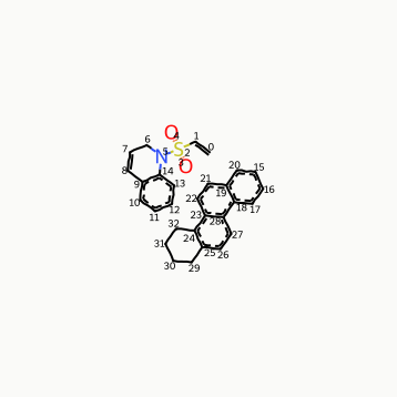 C=CS(=O)(=O)N1CC=Cc2ccccc21.c1ccc2c(c1)ccc1c3c(ccc12)CCCC3